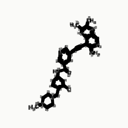 Cc1nc2cnc(N)c(C#Cc3cncc(C(=O)Nc4ccc(CN5CCN(C)CC5)c(Cl)c4)c3)c2nc1C